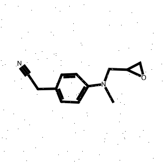 CN(CC1CO1)c1ccc(CC#N)cc1